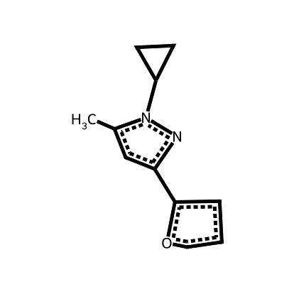 Cc1cc(-c2ccco2)nn1C1CC1